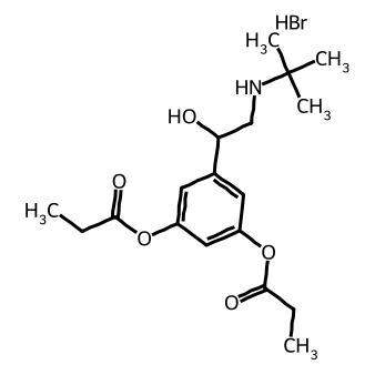 Br.CCC(=O)Oc1cc(OC(=O)CC)cc(C(O)CNC(C)(C)C)c1